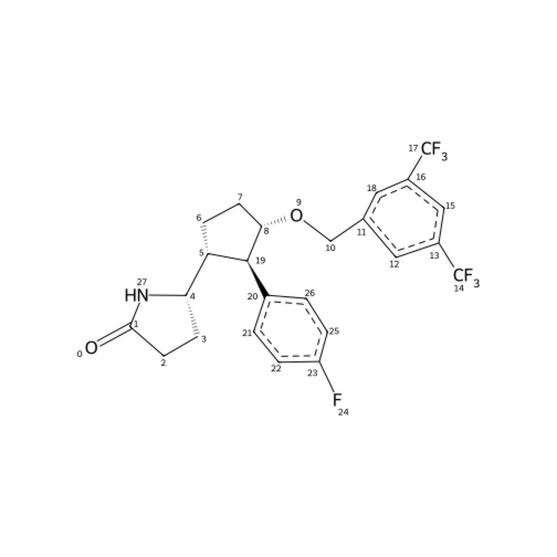 O=C1CC[C@@H]([C@@H]2CC[C@H](OCc3cc(C(F)(F)F)cc(C(F)(F)F)c3)[C@H]2c2ccc(F)cc2)N1